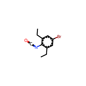 CCc1cc(Br)cc(CC)c1N=C=O